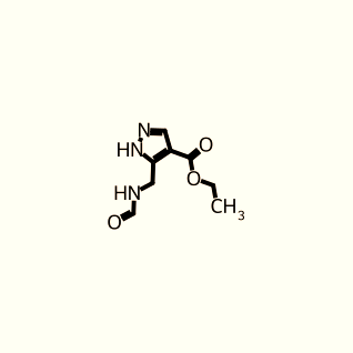 CCOC(=O)c1cn[nH]c1CNC=O